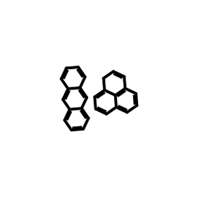 C1=Cc2cccc3cccc(c23)C1.c1ccc2cc3ccccc3cc2c1